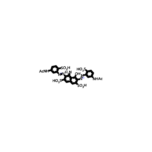 CC(=O)Nc1ccc(S(=O)(=O)O)c(/N=N/c2c(S(=O)(=O)O)cc3cc(S(=O)(=O)O)c(/N=N/c4cc(NC(C)=O)ccc4S(=O)(=O)O)c(O)c3c2N)c1